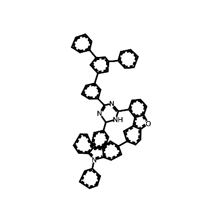 c1ccc(-c2cc(-c3ccccc3)cc(-c3cccc(C4=NC(c5ccccc5)NC(c5cccc6oc7ccc(-c8ccc9c(c8)c8ccccc8n9-c8ccccc8)cc7c56)=N4)c3)c2)cc1